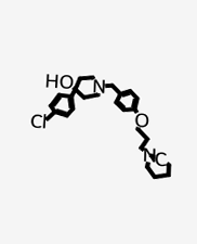 OC1(c2ccc(Cl)cc2)CCN(Cc2ccc(OCCCN3CCCCC3)cc2)CC1